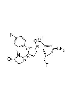 C[C@@H](O[C@H]1CC[C@@H]([C@@H]2CCC(=O)N2C)[C@@H]1c1ccc(F)cc1)c1cc(CF)cc(C(F)(F)F)c1